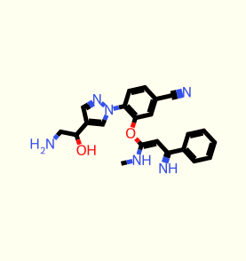 CN/C(=C\C(=N)c1ccccc1)Oc1cc(C#N)ccc1-n1cc(C(O)CN)cn1